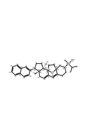 CC(C)[N+](C)([O-])[C@H]1CCC2=CC3=CC[C@]4(C)[C@@H](c5ccc6ccccc6c5)CC[C@H]4[C@@]34CC[C@]2(C1)O4